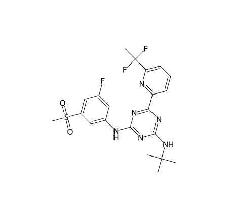 CC(C)(C)Nc1nc(Nc2cc(F)cc(S(C)(=O)=O)c2)nc(-c2cccc(C(C)(F)F)n2)n1